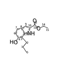 CCCc1c(O)ccc2cc(C(=O)OCC)[nH]c12